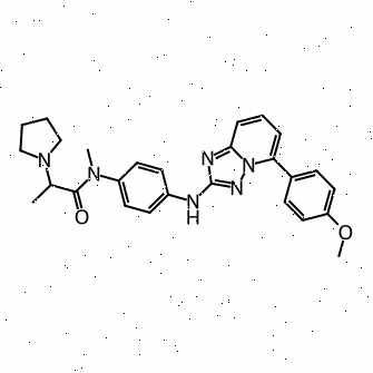 COc1ccc(-c2cccc3nc(Nc4ccc(N(C)C(=O)C(C)N5CCCC5)cc4)nn23)cc1